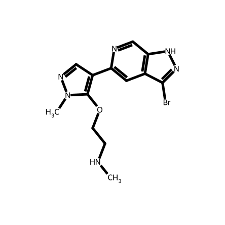 CNCCOc1c(-c2cc3c(Br)n[nH]c3cn2)cnn1C